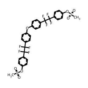 CS(=O)(=O)Oc1ccc(C(F)(F)C(F)(F)c2ccc(Oc3ccc(C(F)(F)C(F)(F)c4ccc(OS(C)(=O)=O)cc4)cc3)cc2)cc1